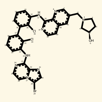 O[C@@H]1CCN(Cc2cnc3c(Nc4cccc(-c5cccc(Nc6nccn7c(Br)cnc67)c5Cl)c4Cl)nccc3c2)C1